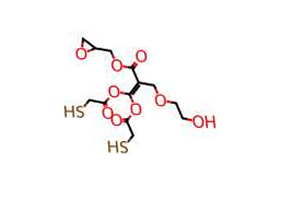 O=C(CS)OC(OC(=O)CS)=C(COCCO)C(=O)OCC1CO1